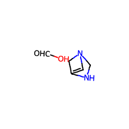 C1=C2CN1CN2.O=CO